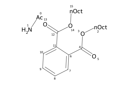 CC(N)=O.CCCCCCCCOC(=O)c1ccccc1C(=O)OCCCCCCCC